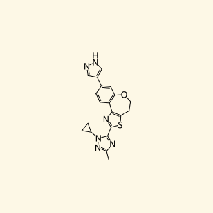 Cc1nc(-c2nc3c(s2)CCOc2cc(-c4cn[nH]c4)ccc2-3)n(C2CC2)n1